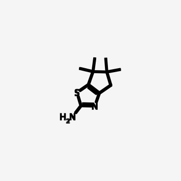 CC1(C)Cc2nc(N)sc2C1(C)C